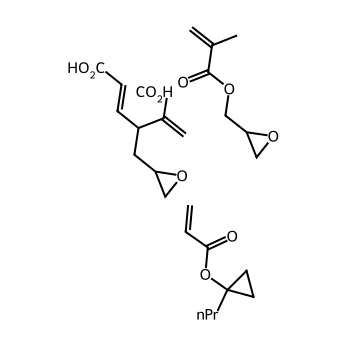 C=C(C(=O)O)C(C=CC(=O)O)CC1CO1.C=C(C)C(=O)OCC1CO1.C=CC(=O)OC1(CCC)CC1